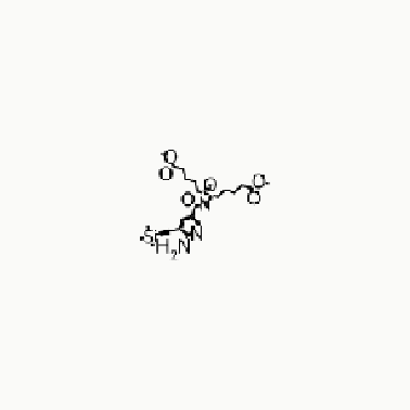 COC(=O)CCCCS(=O)(CCCCC(=O)OC)=NC(=O)c1cnc(N)c(C#C[Si](C)(C)C)c1